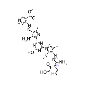 COC(=O)c1cn[nH]c1/N=N/c1c(C)nn(-c2nc(O)nc(-n3nc(C)c(/N=N/C(N)=C(/C=N)C(=O)CO)c3N)n2)c1N